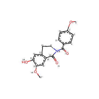 COc1ccc(C(=O)N2CCc3cc(O)c(OC)cc3C2=O)cc1